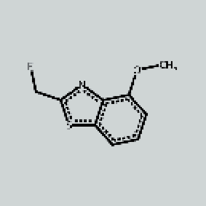 COc1cccc2sc(CF)nc12